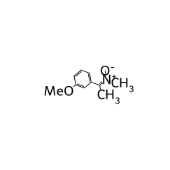 COc1cccc(C(C)=[N+](C)[O-])c1